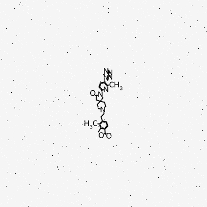 Cc1nc(N2CC3(CCN(CCc4ccc5c(c4C)COC5=O)CC3)CC2=O)ccc1-n1cnnn1